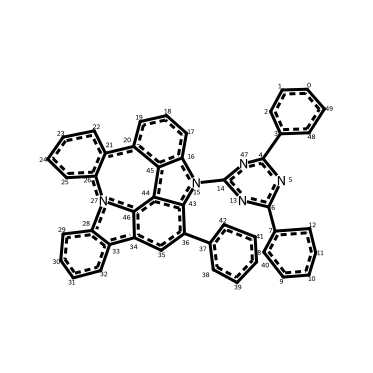 c1ccc(-c2nc(-c3ccccc3)nc(-n3c4cccc5c6ccccc6n6c7ccccc7c7cc(-c8ccccc8)c3c(c54)c76)n2)cc1